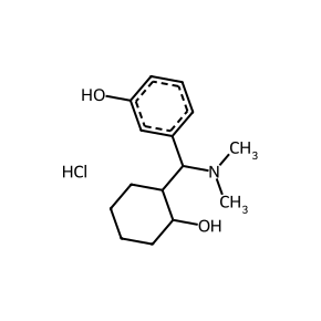 CN(C)C(c1cccc(O)c1)C1CCCCC1O.Cl